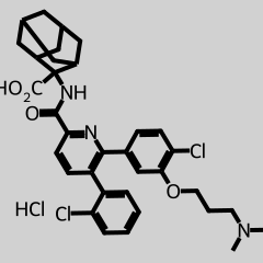 CN(C)CCCOc1cc(-c2nc(C(=O)NC3(C(=O)O)C4CC5CC(C4)CC3C5)ccc2-c2ccccc2Cl)ccc1Cl.Cl